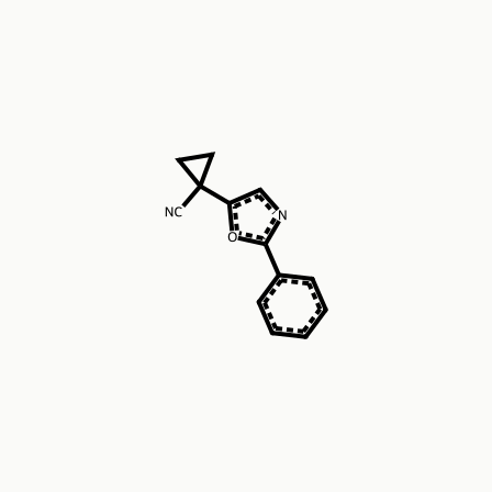 N#CC1(c2cnc(-c3ccccc3)o2)CC1